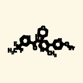 CC(C)Oc1ccc(C2=CC(NC(=O)c3cc(C(C)(F)F)ccn3)(N3CCOCC3)C=NC2C)cn1